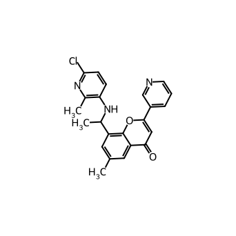 Cc1cc(C(C)Nc2ccc(Cl)nc2C)c2oc(-c3cccnc3)cc(=O)c2c1